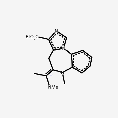 CCOC(=O)c1ncn2c1C/C(=C(\C)NC)N(C)c1ccccc1-2